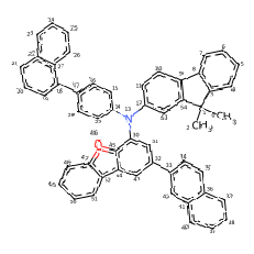 CC1(C)c2ccccc2-c2ccc(N(c3ccc(-c4cccc5ccccc45)cc3)c3cc(-c4ccc5ccccc5c4)cc4c3oc3ccccc34)cc21